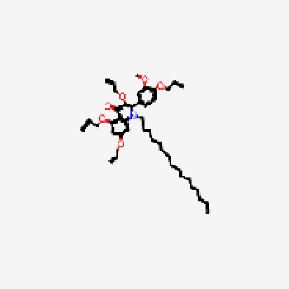 C=CCOc1cc(OCC=C)c2c(=O)c(OCC=C)c(-c3ccc(OCC=C)c(OC)c3)n(CCCCCCCCCCCCCCCC)c2c1